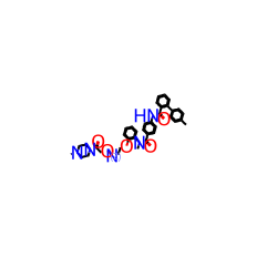 Cc1ccc(-c2ccccc2C(=O)Nc2ccc(C(=O)N(C)c3ccccc3OC/C=N\OCC(=O)N3CCN(C)CC3)cc2)cc1